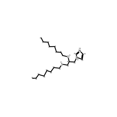 CCCCCCCCOC(CSCCCCCCCC)Cn1ccnc1